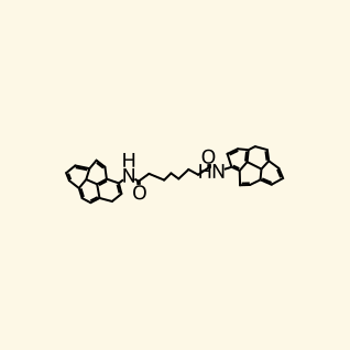 O=C(CCCCCCC(=O)Nc1ccc2c3c1C=CC1=CC=CC(=CC2)C13)NC1=CCC2=CC=C3C=CC=C4C=CC1=C2C43